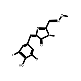 CON=CC1=NC(=Cc2cc(F)c(O)c(F)c2)C(=O)N1C